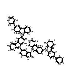 c1cncc(-c2ccc3c(c2)c2ccccc2n3-c2ccc3c(c2)c2ccncc2n3-c2csc3ccc(-n4c5ccc(-n6c7ccccc7c7cc(-c8cccnc8)ccc76)cc5c5cccnc54)cc23)c1